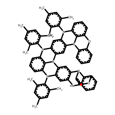 Cc1cc(C)c(N2c3cc4c(cc3B3c5ccccc5Oc5cccc2c53)B2c3cc5c(cc3N(c3c(C)cc(C)cc3C)c3cccc(c32)N4c2c(C)cc(C)cc2C)Nc2cccc3c2B5c2ccccc2O3)c(C)c1